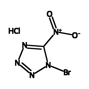 Cl.O=[N+]([O-])c1nnnn1Br